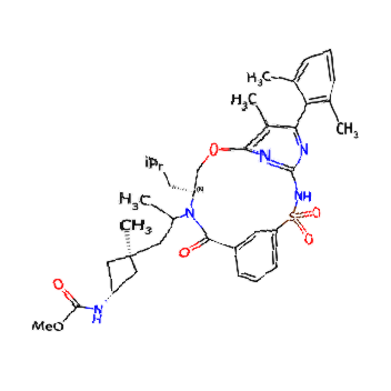 COC(=O)N[C@H]1C[C@](C)(CC(C)N2C(=O)c3cccc(c3)S(=O)(=O)Nc3nc(c(C)c(-c4c(C)cccc4C)n3)OC[C@H]2CC(C)C)C1